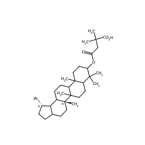 CC(C)[C@H]1CCC2CC[C@]3(C)C(CCC4C5(C)CCC(OC(=O)CC(C)(C)C(=O)O)C(C)(C)C5CCC43C)C21